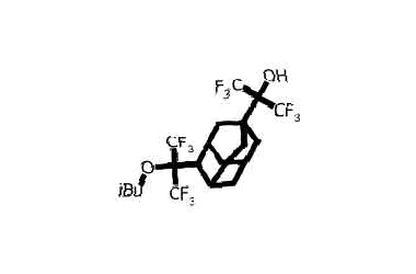 CCC(C)OC(C1C2CC3CC1CC(C(O)(C(F)(F)F)C(F)(F)F)(C3)C2)(C(F)(F)F)C(F)(F)F